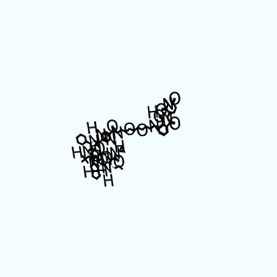 CCC[C@H](NC(=O)[C@@H]1[C@H]2CCC[C@H]2CN1C(=O)[C@@H](NC(=O)[C@@H](NC(=O)c1cnc(C(=O)NCCOCCOCCNc2cccc3c2C(=O)N(C2CCC(=O)N(C)C2=O)C3=O)cn1)C1CCCCC1)C(C)(C)C)C(O)C(=O)NC1CC1